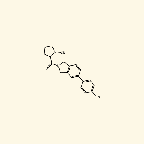 N#Cc1ccc(-c2ccc3c(c2)CN(C(=O)C2CCCN2C#N)C3)cc1